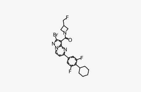 O=C(c1c(Br)nn2ccc(-c3cc(F)c(C4CCCCC4)c(F)c3)nc12)N1CC(CF)C1